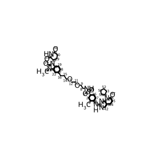 Cc1cc(S(=O)(=O)NCCOCCOCCCc2ccc3c(c2)n(C)c(=O)n3C2CCC(=O)NC2=O)ccc1Nc1ncc2ccc(=O)n(C3CCCC3)c2n1